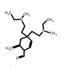 C=C1CC(CCN(C)CC)(CCN(C)CC)C=CC1C=O